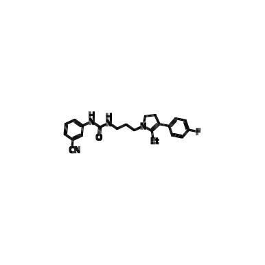 CCC1=C(c2ccc(F)cc2)CCN1CCCNC(=O)Nc1cccc(C#N)c1